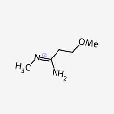 C/N=C(\N)CCOC